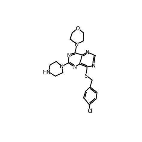 Clc1ccc(CSc2ncnc3c(N4CCOCC4)nc(N4CCNCC4)nc23)cc1